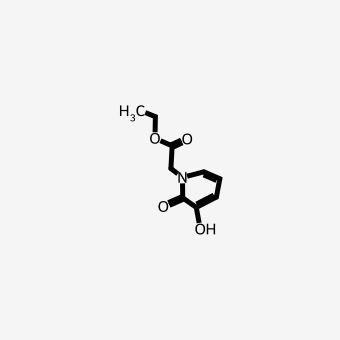 CCOC(=O)Cn1cccc(O)c1=O